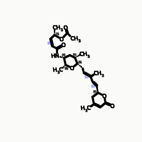 CC(=O)O[C@@H](C)/C=C\C(=O)N[C@@H]1C[C@H](C)[C@H](C/C=C(C)/C=C/[C@@H]2CC(C)=CC(=O)O2)O[C@@H]1C